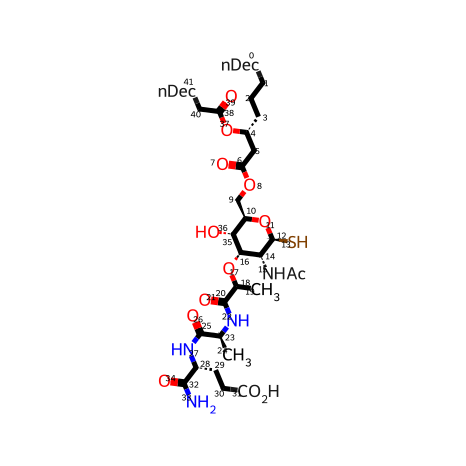 CCCCCCCCCCCCC[C@H](CC(=O)OC[C@H]1O[C@@H](S)[C@H](NC(C)=O)[C@H](OC(C)C(=O)N[C@@H](C)C(=O)N[C@H](CCC(=O)O)C(N)=O)[C@@H]1O)OC(=O)CCCCCCCCCCC